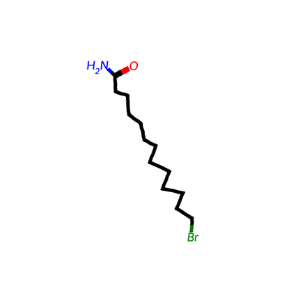 NC(=O)CCCCCCCCCCCCBr